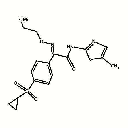 COCCO/N=C(/C(=O)Nc1ncc(C)s1)c1ccc(S(=O)(=O)C2CC2)cc1